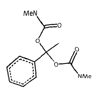 CNC(=O)OC(C)(OC(=O)NC)c1ccccc1